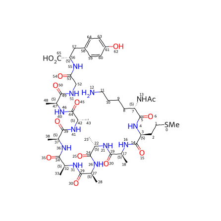 CSCC[C@H](NC(=O)[C@H](CCCCN)NC(C)=O)C(=O)N[C@@H](C)C(=O)N[C@@H](C)C(=O)N[C@@H](C)C(=O)N[C@@H](C)C(=O)N[C@@H](C)C(=O)N[C@@H](C)C(=O)N[C@@H](C)C(=O)NCC(=O)N[C@@H](Cc1ccc(O)cc1)C(=O)O